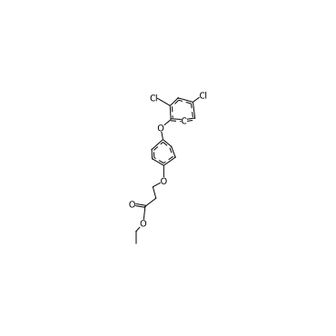 CCOC(=O)CCOc1ccc(Oc2ccc(Cl)cc2Cl)cc1